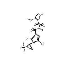 COc1ccc(Cl)cc1S(=O)(=O)NC(=O)c1nc(Cl)n(C2CC2C(F)(F)F)c1Cl